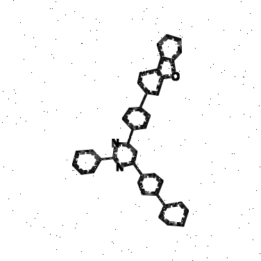 c1ccc(-c2ccc(-c3cc(-c4ccc(-c5ccc6c(c5)oc5ccccc56)cc4)nc(-c4ccccc4)n3)cc2)cc1